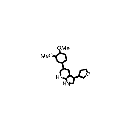 COC1CCC(C2CNC3NCC(C4CCOC4)C3C2)CC1OC